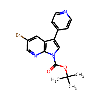 CC(C)(C)OC(=O)n1cc(-c2ccncc2)c2cc(Br)cnc21